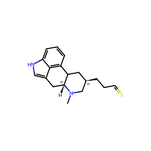 CN1C[C@H](CCC=S)CC2c3cccc4[nH]cc(c34)C[C@H]21